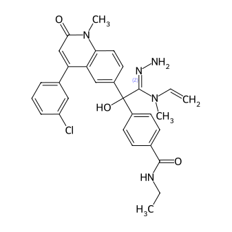 C=CN(C)/C(=N\N)C(O)(c1ccc(C(=O)NCC)cc1)c1ccc2c(c1)c(-c1cccc(Cl)c1)cc(=O)n2C